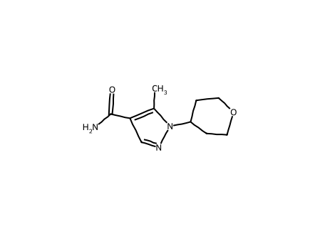 Cc1c(C(N)=O)cnn1C1CCOCC1